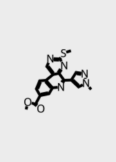 COC(=O)c1ccc2c(c1)nc(-c1cnn(C)c1)c1nc(SC)ncc12